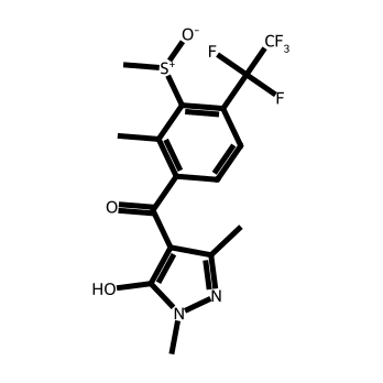 Cc1nn(C)c(O)c1C(=O)c1ccc(C(F)(F)C(F)(F)F)c([S+](C)[O-])c1C